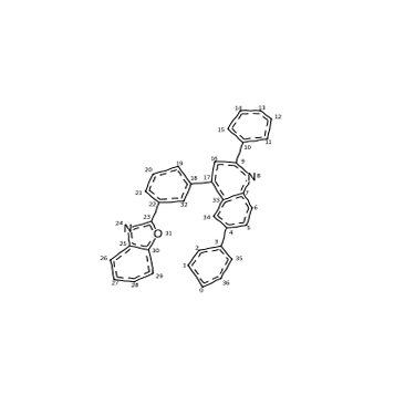 c1ccc(-c2ccc3nc(-c4ccccc4)cc(-c4cccc(-c5nc6ccccc6o5)c4)c3c2)cc1